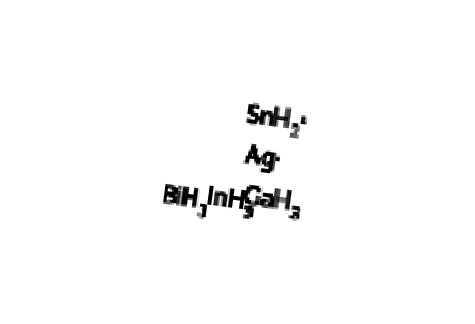 [Ag].[BiH3].[GaH3].[InH3].[SnH2]